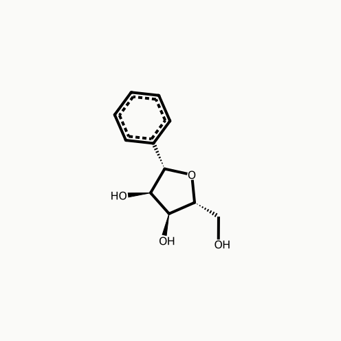 OC[C@H]1O[C@@H](c2ccccc2)[C@H](O)[C@@H]1O